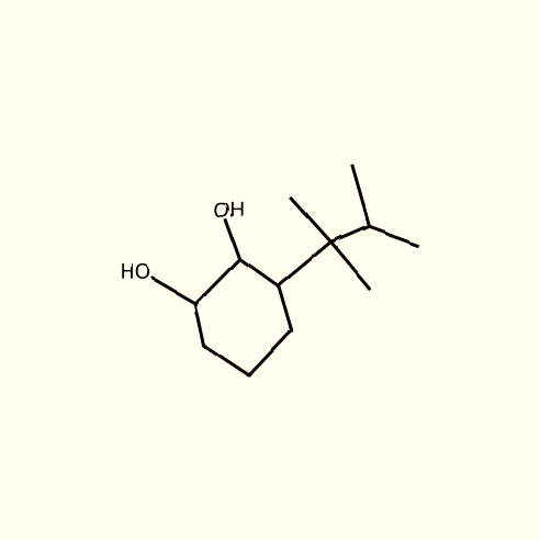 CC(C)C(C)(C)C1CCCC(O)C1O